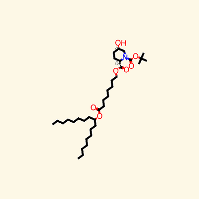 CCCCCCCCC(CCCCCCCC)OC(=O)CCCCCCCOC(=O)[C@@H]1CC[C@H](O)CN1C(=O)OC(C)(C)C